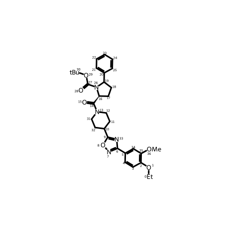 CCOc1ccc(-c2noc(C3CCN(C(=O)[C@@H]4CCC(c5ccccc5)N4C(=O)OC(C)(C)C)CC3)n2)cc1OC